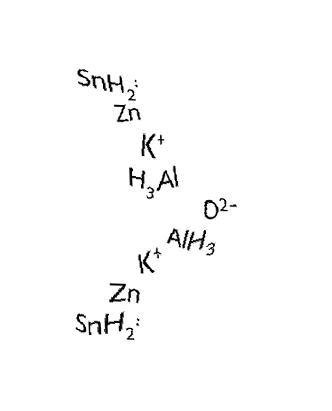 [AlH3].[AlH3].[K+].[K+].[O-2].[SnH2].[SnH2].[Zn].[Zn]